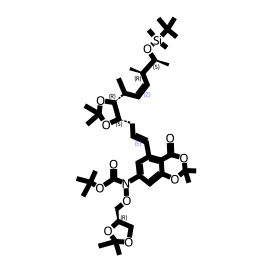 CC(/C=C\[C@@H](C)[C@H](C)O[Si](C)(C)C(C)(C)C)[C@H]1OC(C)(C)O[C@H]1C/C=C/c1cc(N(OC[C@H]2COC(C)(C)O2)C(=O)OC(C)(C)C)cc2c1C(=O)OC(C)(C)O2